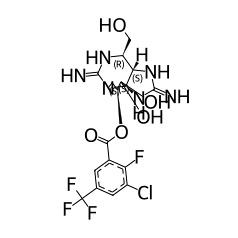 N=C1N[C@H]2[C@H](CO)NC(=N)N3C[C@H](OC(=O)c4cc(C(F)(F)F)cc(Cl)c4F)C(O)(O)[C@]23N1